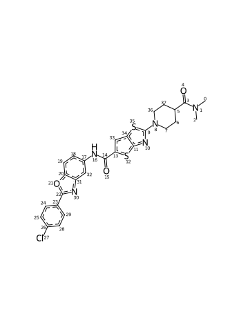 CN(C)C(=O)C1CCN(c2nc3sc(C(=O)Nc4ccc5oc(-c6ccc(Cl)cc6)nc5c4)cc3s2)CC1